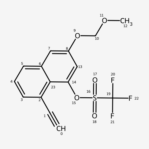 C#Cc1cccc2cc(OCOC)cc(OS(=O)(=O)C(F)(F)F)c12